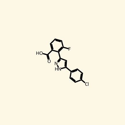 O=C(O)c1cccc(F)c1-c1cc(-c2ccc(Cl)cc2)[nH]n1